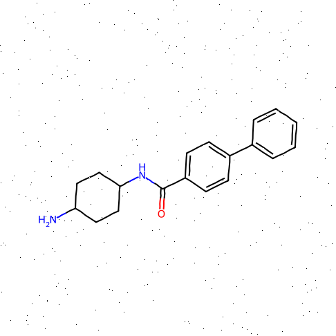 NC1CCC(NC(=O)c2ccc(-c3ccccc3)cc2)CC1